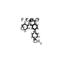 CN1CCN(c2ccc(C(=O)Cl)c(N(C(=O)C(F)(F)F)C3CCOCC3)c2)CC1